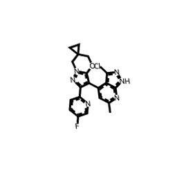 Cc1cc(-c2c(-c3ccc(F)cn3)nn3c2OCC2(CC2)C3)c2c(Cl)n[nH]c2n1